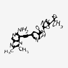 Cc1nc2cnc(N)c(C#Cc3cncc(C(=O)Nc4nnc(C5(C)COC5)o4)c3)c2nc1C